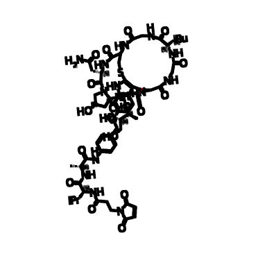 CC[C@H](C)[C@@H]1NC(=O)CNC(=O)C2Cc3c([nH]c4cc(OCc5ccc(NC(=O)[C@@H](C)NC(=O)[C@@H](NC(=O)CCN6C(=O)C=CC6=O)C(C)C)cc5)ccc34)SCC(NC(=O)CNC1=O)C(=O)N[C@@H](CC(N)=O)C(=O)N1C[C@H](O)C[C@@]1(C=O)N[C@@H]([C@@H](C)[C@@H](O)CO)C(=O)N2